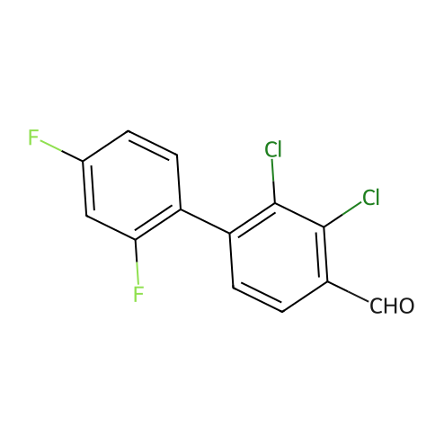 O=Cc1ccc(-c2ccc(F)cc2F)c(Cl)c1Cl